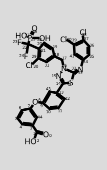 O=C(O)c1cccc(Oc2cccc(-c3nn(Cc4ccc(C(F)(F)P(=O)(O)O)c(Cl)c4)/c(=N\c4ccc(Cl)c(Cl)c4)s3)c2)c1